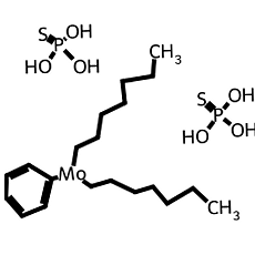 CCCCCC[CH2][Mo]([CH2]CCCCCC)[c]1ccccc1.OP(O)(O)=S.OP(O)(O)=S